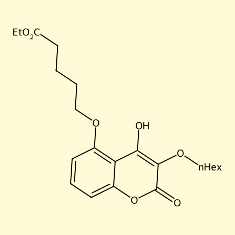 CCCCCCOc1c(O)c2c(OCCCCC(=O)OCC)cccc2oc1=O